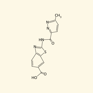 Cc1ccc(C(=O)Nc2nc3ccc(C(=O)O)cc3s2)nn1